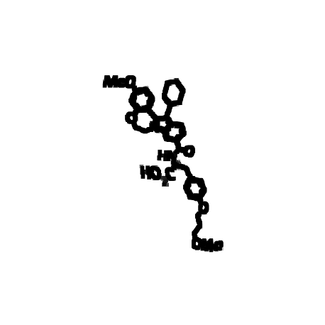 COCCCOc1ccc(C[C@H](NC(=O)c2ccc3c(C4CCCCC4)c4n(c3c2)CCOc2cc(OC)ccc2-4)C(=O)O)cc1